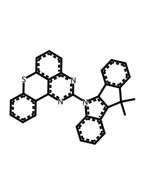 CC1(C)c2ccccc2-c2c1c1ccccc1n2-c1nc2c3c(cccc3n1)Sc1ccccc1-2